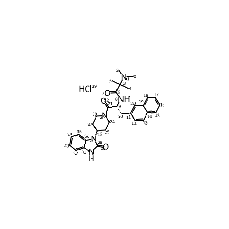 CN(C)C(C)(C)C(=O)N[C@H](Cc1ccc2ccccc2c1)C(=O)N1CCC(n2c(=O)[nH]c3ccccc32)CC1.Cl